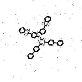 c1ccc(-c2ccc(-c3nc(-c4ccc(-c5ccccc5)cc4)nc(-n4c5ccc(-c6nc7ccccc7o6)cc5c5cc(-c6nc7ccccc7o6)ccc54)n3)cc2)cc1